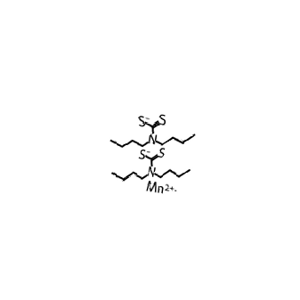 CCCCN(CCCC)C(=S)[S-].CCCCN(CCCC)C(=S)[S-].[Mn+2]